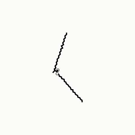 CCCCCCCCCCCCCCCCCCCCCCC=C(C)C(=O)OCCCCCCCCCCCCCCCCCCCCCC